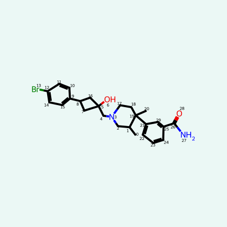 CC1CN(CC2(O)CC(c3ccc(Br)cc3)C2)CCC1(C)c1cccc(C(N)=O)c1